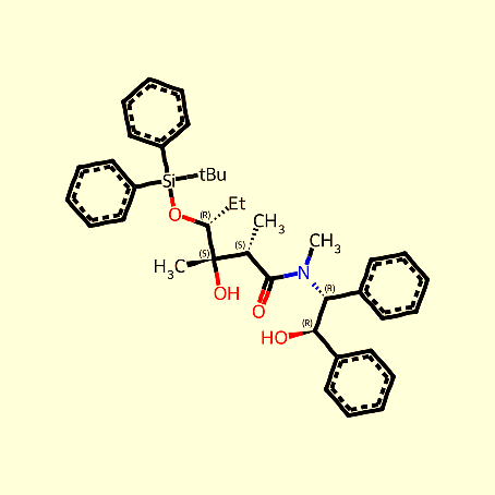 CC[C@@H](O[Si](c1ccccc1)(c1ccccc1)C(C)(C)C)[C@@](C)(O)[C@H](C)C(=O)N(C)[C@H](c1ccccc1)[C@H](O)c1ccccc1